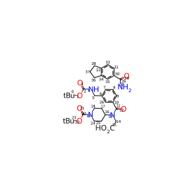 CC(C)(C)OC(=O)NCc1cccc(C(=O)N(CC(=O)O)C2CCN(C(=O)OC(C)(C)C)CC2)c1.NC(=O)c1ccc2c(c1)CCC2